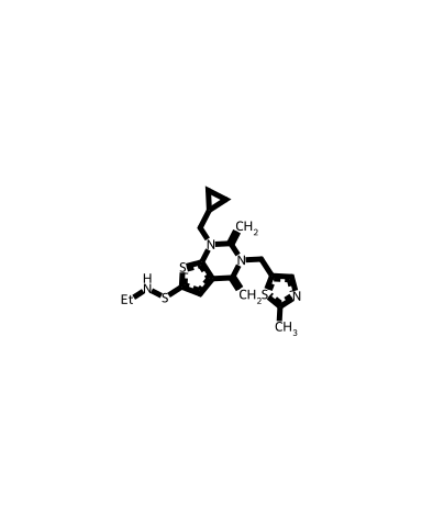 C=C1c2cc(SNCC)sc2N(CC2CC2)C(=C)N1Cc1cnc(C)s1